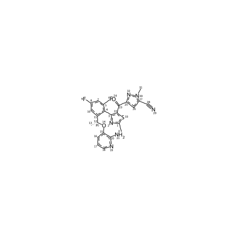 Cc1nc(-c2c(F)cc(F)cc2[C@@H](C)Oc2cccnc2N)c(C(=O)c2cc(C#N)n(C)n2)s1